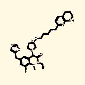 CCOC(=O)C(c1cc(Cc2cnco2)cc(F)c1OC)N1CC[C@@H](OCCCCCc2ccc3c(n2)NCCC3)C1